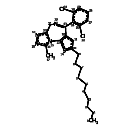 CCCCCCCCCCc1cc2c(s1)-n1c(C)nnc1CN=C2c1c(Cl)cccc1Cl